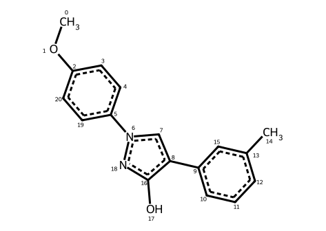 COc1ccc(-n2cc(-c3cccc(C)c3)c(O)n2)cc1